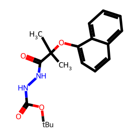 CC(C)(C)OC(=O)NNC(=O)C(C)(C)Oc1cccc2ccccc12